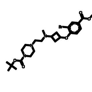 COC(=O)c1ccc(OC2CC(N(C)CCN3CCN(C(=O)OC(C)(C)C)CC3)C2)c(Br)c1